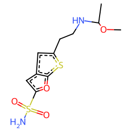 COC(C)NCCc1cc2cc(S(N)(=O)=O)oc2s1